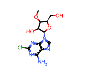 COC1C(O)[C@H](n2cnc3c(N)nc(Cl)nc32)O[C@@H]1CO